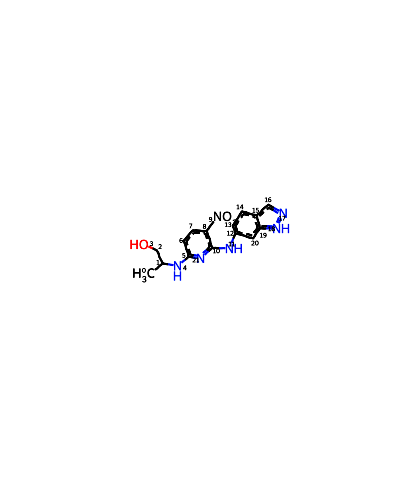 CC(CO)Nc1ccc([N+](=O)[O-])c(Nc2ccc3cn[nH]c3c2)n1